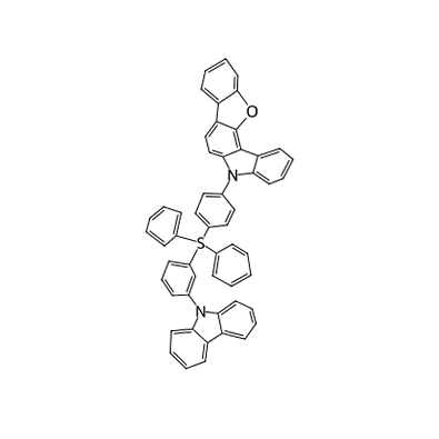 c1ccc(S(c2ccccc2)(c2ccc(-n3c4ccccc4c4c5oc6ccccc6c5ccc43)cc2)c2cccc(-n3c4ccccc4c4ccccc43)c2)cc1